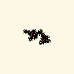 c1ccc(-c2ccc(N(c3ccc4c(c3)oc3c(-c5ccc6c(c5)-c5cccc(N(c7ccc(-c8ccccc8)cc7)c7ccc8oc9ccccc9c8c7)c5C65c6ccccc6-c6ccccc65)cccc34)c3cccc4c3C3(c5ccccc5-c5ccccc53)c3ccccc3-4)cc2)cc1